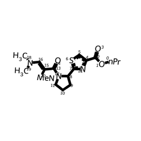 CCCOC(=O)c1csc(C2CCCN2C(=O)/C(=C/N(C)C)NC)n1